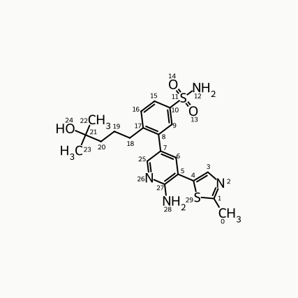 Cc1ncc(-c2cc(-c3cc(S(N)(=O)=O)ccc3CCCC(C)(C)O)cnc2N)s1